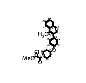 CON(C)C(=O)N1CCC(Oc2ccc(-c3cnc4ccccc4c3C)cc2)CC1